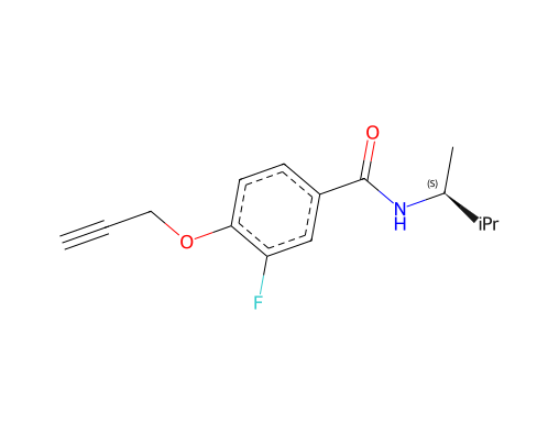 C#CCOc1ccc(C(=O)N[C@@H](C)C(C)C)cc1F